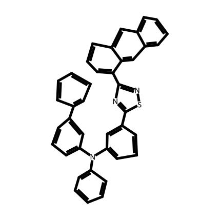 c1ccc(-c2cccc(N(c3ccccc3)c3cccc(-c4nc(-c5cccc6cc7ccccc7cc56)ns4)c3)c2)cc1